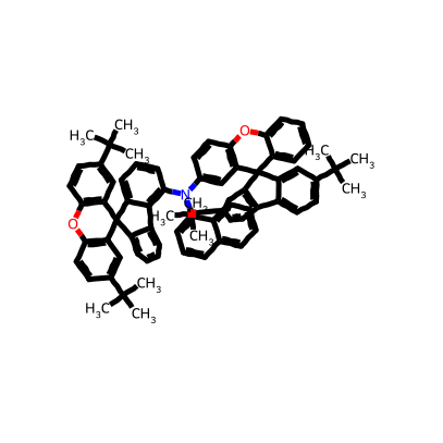 CC(C)(C)c1ccc2c(c1)C1(c3cc(C(C)(C)C)ccc3O2)c2ccccc2-c2c(N(c3ccc4c(c3)C3(c5ccccc5O4)c4cc(C(C)(C)C)ccc4-c4ccc(C(C)(C)C)cc43)c3cccc4ccccc34)cccc21